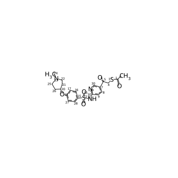 CC(=O)SCC(=O)c1ccc(NS(=O)(=O)c2ccc(OC3CCN(C)CC3)cc2)nc1